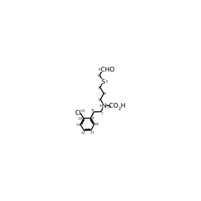 O=CCSCCCN(CCc1ccccc1Cl)C(=O)O